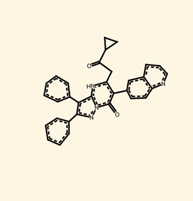 O=C(Cc1[nH]c2c(-c3ccccc3)c(-c3ccccc3)nn2c(=O)c1-c1ccc2ncccc2c1)C1CC1